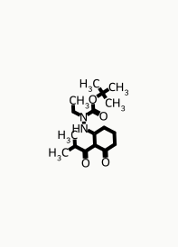 CCN(NC1CCCC(=O)C1C(=O)C(C)C)C(=O)OC(C)(C)C